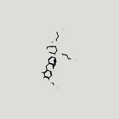 CCCCO[C@@H]1[C@@H](OCCCC)[C@@]2(c3ccc(Cl)c(Cc4ccc(OCC)c(F)c4F)c3)OC[C@](C=O)(O2)[C@H]1OCCCC